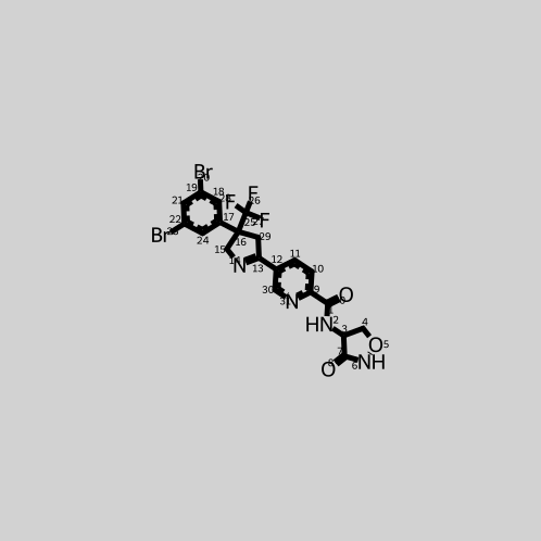 O=C(NC1CONC1=O)c1ccc(C2=NCC(c3cc(Br)cc(Br)c3)(C(F)(F)F)C2)cn1